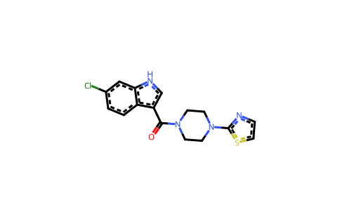 O=C(c1c[nH]c2cc(Cl)ccc12)N1CCN(c2nccs2)CC1